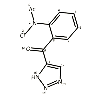 CC(=O)N(Cl)c1ccccc1C(=O)c1cnn[nH]1